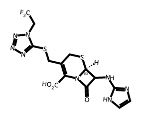 O=C(O)C1=C(CSc2nnnn2CC(F)(F)F)CS[C@H]2C(Nc3ncc[nH]3)C(=O)N12